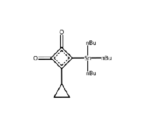 CCC[CH2][Sn]([CH2]CCC)([CH2]CCC)[c]1c(C2CC2)c(=O)c1=O